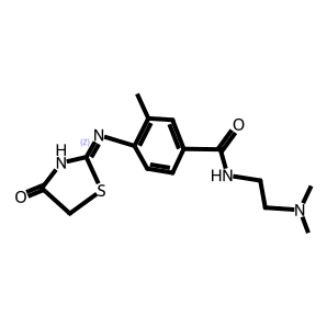 Cc1cc(C(=O)NCCN(C)C)ccc1/N=C1/NC(=O)CS1